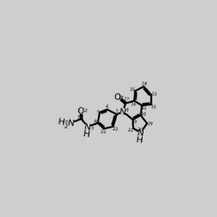 NC(=O)Nc1ccc(-n2c3c(c4ccccc4c2=O)CNC3)cc1